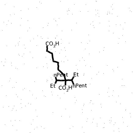 CCCCCC(CC)C(CCCCCCC(=O)O)(C(=O)O)C(CC)CCCCC